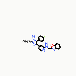 CSc1nc(-c2ccnc(NCc3nc4ccccc4o3)c2)c(-c2ccc(F)cc2)[nH]1